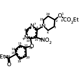 CCOC(=O)OC1CCN(c2ncnc(Oc3ccc(C(=O)CC)cc3)c2[N+](=O)[O-])CC1